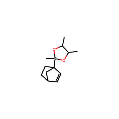 CC1O[Si](C)(C23C=CC(CC2)C3)OC1C